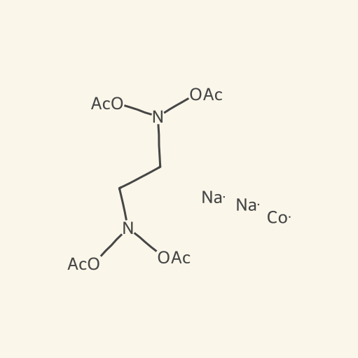 CC(=O)ON(CCN(OC(C)=O)OC(C)=O)OC(C)=O.[Co].[Na].[Na]